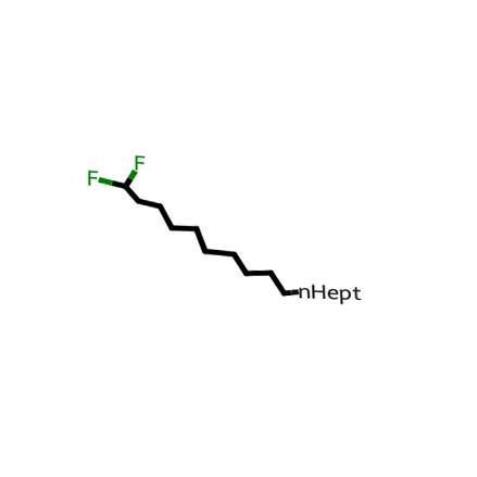 CCCCCCCCCCCCCCCCC(F)F